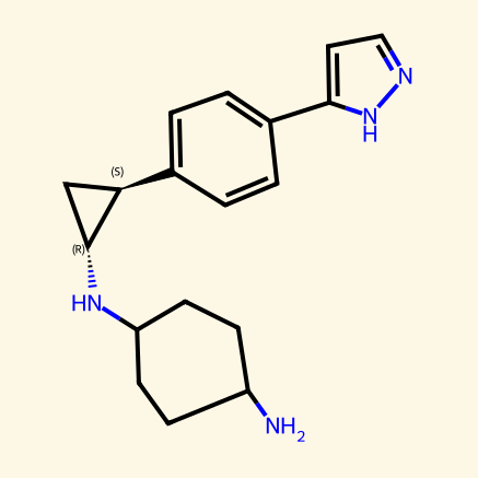 NC1CCC(N[C@@H]2C[C@H]2c2ccc(-c3ccn[nH]3)cc2)CC1